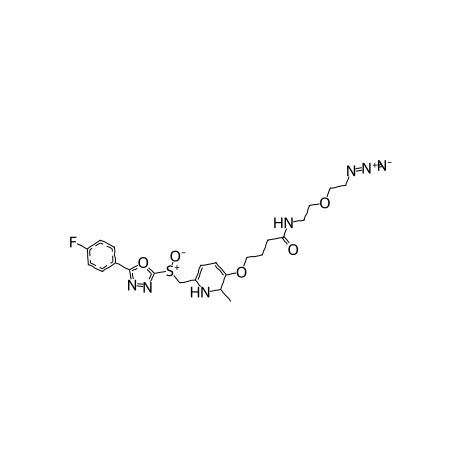 CC1NC(C[S+]([O-])c2nnc(-c3ccc(F)cc3)o2)=CC=C1OCCCC(=O)NCCOCCN=[N+]=[N-]